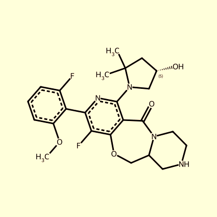 COc1cccc(F)c1-c1nc(N2C[C@@H](O)CC2(C)C)c2c(c1F)OCC1CNCCN1C2=O